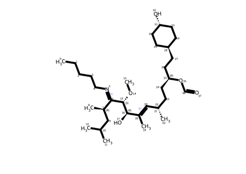 CCCCC/N=C(\[C@H](C)CC(C)C)[C@H](OC)[C@H](O)/C(C)=C/[C@@H](C)CC[C@@H](CC[C@H]1CC[C@H](O)CC1)OC=O